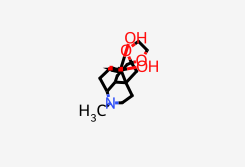 CN1CCC23CC4(CCC2C1Cc1ccc(O)c(O)c13)OCCO4